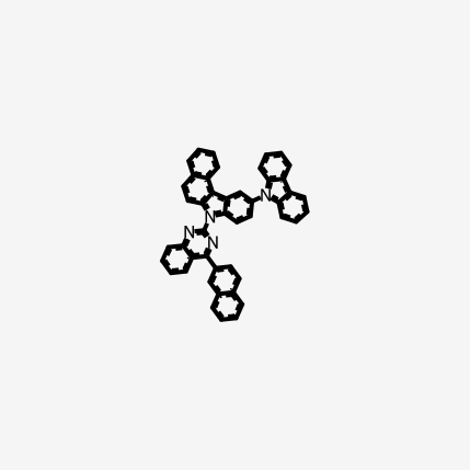 c1ccc2cc(-c3nc(-n4c5ccc(-n6c7ccccc7c7ccccc76)cc5c5c6ccccc6ccc54)nc4ccccc34)ccc2c1